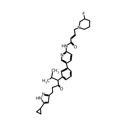 CC(C)C(C(=O)CCc1cc(C2CC2)[nH]n1)c1cccc(-c2ccc(NC(=O)/C=C/CN3CCCC(F)C3)nc2)c1